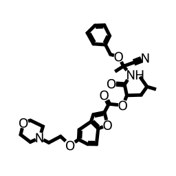 CC(C)CC(OC(=O)c1cc2cc(OCCN3CCOCC3)ccc2o1)C(=O)NC(C)(C#N)OCc1ccccc1